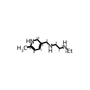 CCNCCNCC1=CC=C(C)NC1